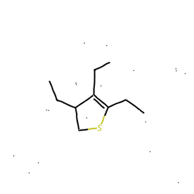 CCC1=C(CC)C(CC)CS1